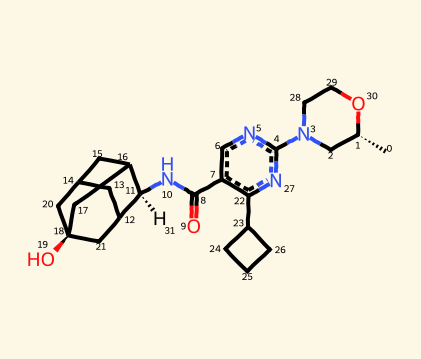 C[C@@H]1CN(c2ncc(C(=O)N[C@H]3C4CC5CC3C[C@@](O)(C5)C4)c(C3CCC3)n2)CCO1